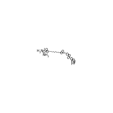 Nc1cc(N)c(I)c(C(=O)OCCCCCCCCCCCOC(=O)C=Cc2ccc(OC(=O)c3ccc(OC(F)(F)C(F)F)cc3)cc2)c1